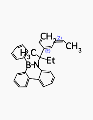 C=C/C(=C\C=C/C)C(C)(CC)N1B(c2ccccc2)c2ccccc2-c2ccccc21